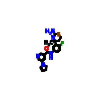 CC1(c2cc(NC(=O)c3cncc(-n4cccc4)c3)ccc2F)CCSC(N)=N1